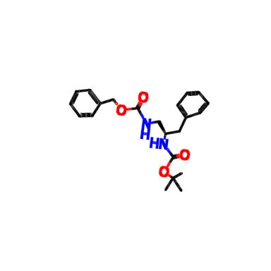 CC(C)(C)OC(=O)N[C@@H](CNC(=O)OCc1ccccc1)Cc1ccccc1